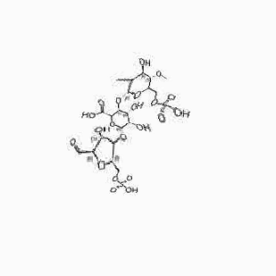 CO[C@@H]1C(COS(=O)(=O)O)O[C@H](O[C@@H]2C(C(=O)O)O[C@@H](OC3[C@@H](COS(=O)(=O)O)O[C@@H](C=O)[C@H]3O)C(O)[C@H]2O)C(C)[C@H]1O